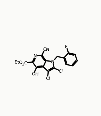 CCOC(=O)c1nc(C#N)c2c(c1O)c(Cl)c(Cl)n2Cc1ccccc1F